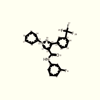 O=C(Nc1cccc(F)c1)c1cn(-c2ccccc2)nc1-c1cccc(C(F)(F)F)c1